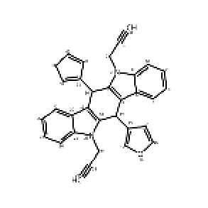 C#CCn1c2c(c3ccccc31)C(c1ccoc1)c1c(c3ccccc3n1CC#C)C2C1=CCC=C1